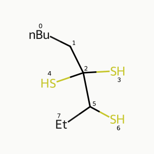 CCCCCC(S)(S)C(S)CC